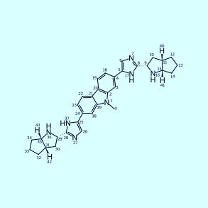 Cn1c2cc(-c3cnc([C@@H]4C[C@@H]5CCC[C@@H]5N4)[nH]3)ccc2c2ccc(-c3cnc([C@@H]4C[C@@H]5CCC[C@@H]5N4)[nH]3)cc21